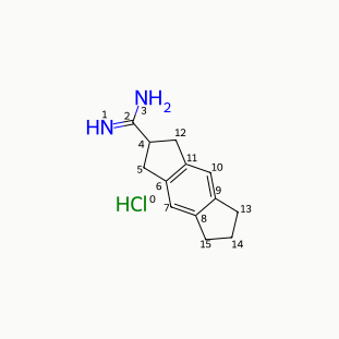 Cl.N=C(N)C1Cc2cc3c(cc2C1)CCC3